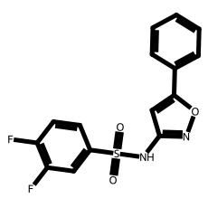 O=S(=O)(Nc1cc(-c2ccccc2)on1)c1ccc(F)c(F)c1